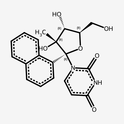 C[C@@]1(O)[C@H](O)[C@@H](CO)O[C@@]1(c1cccc2ccccc12)n1ccc(=O)[nH]c1=O